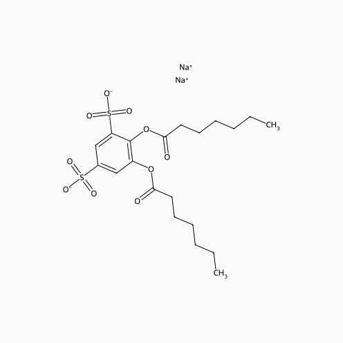 CCCCCCC(=O)Oc1cc(S(=O)(=O)[O-])cc(S(=O)(=O)[O-])c1OC(=O)CCCCCC.[Na+].[Na+]